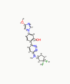 COc1cn(-c2ccc(-c3ccc(N(C)[C@@H]4CCC(F)(F)C4)nn3)c(O)c2)cn1